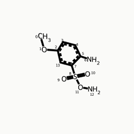 COc1ccc(N)c(S(=O)(=O)ON)c1